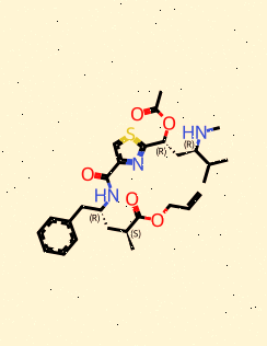 C=CCOC(=O)[C@@H](C)C[C@H](Cc1ccccc1)NC(=O)c1csc([C@@H](C[C@@H](NC)C(C)C)OC(C)=O)n1